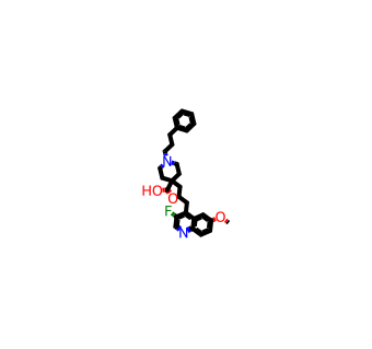 COc1ccc2ncc(F)c(CCCC3(C(=O)O)CCN(CCCc4ccccc4)CC3)c2c1